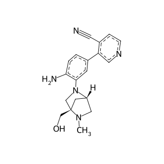 CN1C[C@@H]2C[C@@]1(CO)CN2c1cc(-c2cnccc2C#N)ccc1N